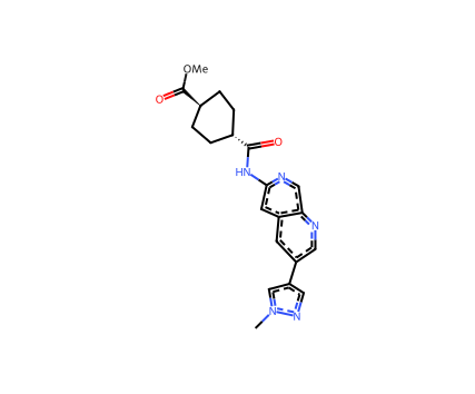 COC(=O)[C@H]1CC[C@H](C(=O)Nc2cc3cc(-c4cnn(C)c4)cnc3cn2)CC1